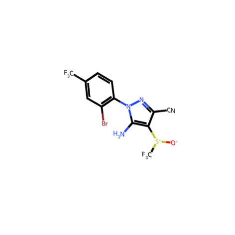 N#Cc1nn(-c2ccc(C(F)(F)F)cc2Br)c(N)c1[S+]([O-])C(F)(F)F